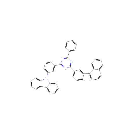 c1ccc(-c2nc(-c3cccc(-n4c5ccccc5c5ccccc54)c3)nc(-c3ccc4oc5ccc6ccccc6c5c4c3)n2)cc1